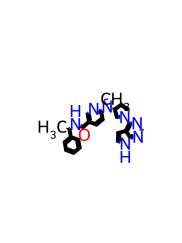 C[C@H](NC(=O)c1ccc(N(C)[C@@H]2CCN(c3ncnc4[nH]ccc34)C2)nc1)c1ccccc1